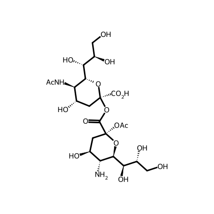 CC(=O)N[C@H]1[C@H]([C@H](O)[C@H](O)CO)O[C@](OC(=O)[C@]2(OC(C)=O)C[C@H](O)[C@@H](N)[C@H]([C@H](O)[C@H](O)CO)O2)(C(=O)O)C[C@@H]1O